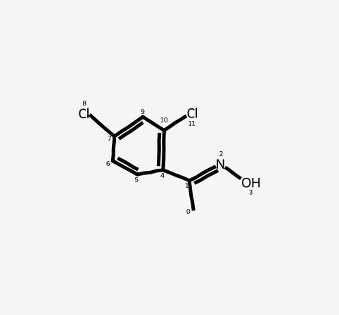 CC(=NO)c1ccc(Cl)cc1Cl